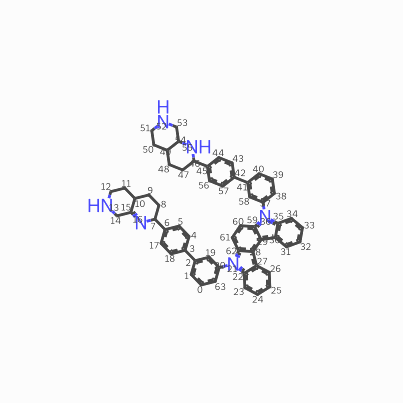 c1cc(-c2ccc(C3CCC4CCNCC4=N3)cc2)cc(-n2c3ccccc3c3c4c5ccccc5n(-c5cccc(-c6ccc(C7CCC8CCNCC8N7)cc6)c5)c4ccc32)c1